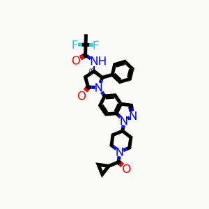 CC(F)(F)C(=O)N[C@H]1CC(=O)N(c2ccc3c(cnn3C3CCN(C(=O)C4CC4)CC3)c2)C1c1ccccc1